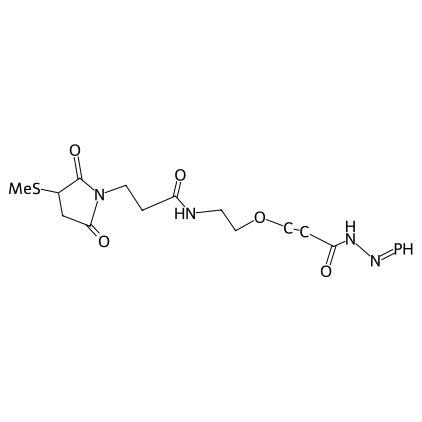 CSC1CC(=O)N(CCC(=O)NCCOCCC(=O)NN=P)C1=O